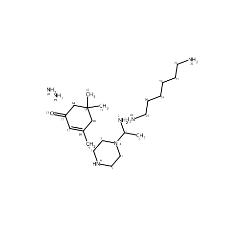 CC(N)N1CCNCC1.CC1=CC(=O)CC(C)(C)C1.N.N.NCCCCCCN